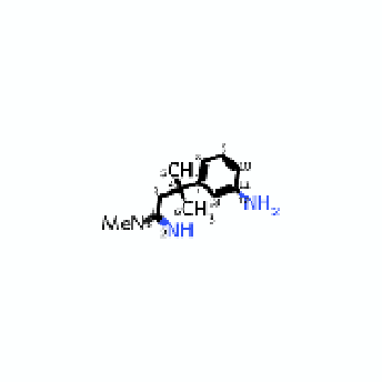 CNC(=N)CC(C)(C)c1cccc(N)c1